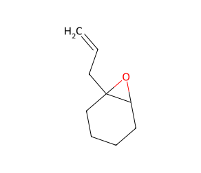 C=CCC12CCCCC1O2